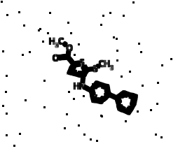 COC(=O)c1cc(Nc2ccc(-c3ccccc3)cc2)c(SC)s1